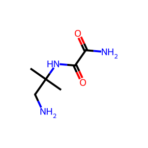 CC(C)(CN)NC(=O)C(N)=O